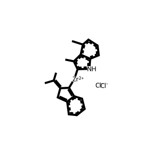 CC(C)=C1C=c2ccccc2=[C]1[Zr+2][c]1[nH]c2cccc(C)c2c1C.[Cl-].[Cl-]